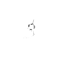 Cc1cnn(CC=O)c1